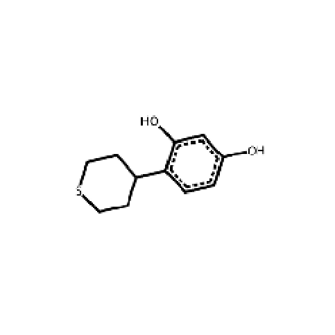 Oc1ccc(C2CCSCC2)c(O)c1